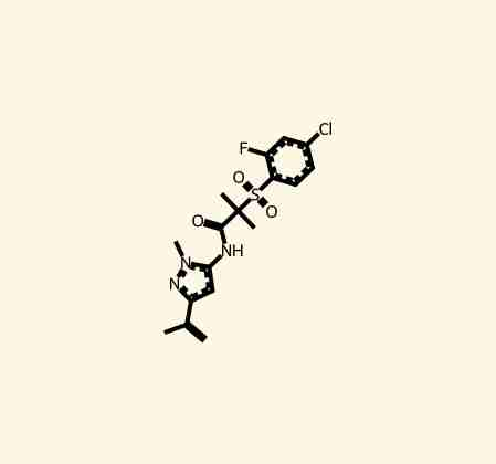 C=C(C)c1cc(NC(=O)C(C)(C)S(=O)(=O)c2ccc(Cl)cc2F)n(C)n1